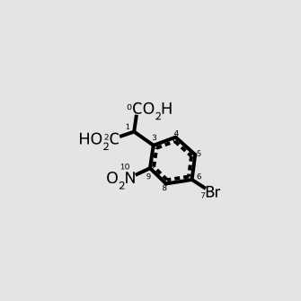 O=C(O)C(C(=O)O)c1ccc(Br)cc1[N+](=O)[O-]